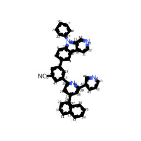 N#Cc1cc(-c2ccc3c(c2)c2ccncc2n3-c2ccccc2)cc(-c2cc(-c3cccc4ccccc34)cc(-c3cccnc3)n2)c1